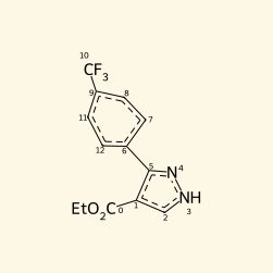 CCOC(=O)c1c[nH]nc1-c1ccc(C(F)(F)F)cc1